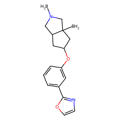 BN1CC2CC(Oc3cccc(-c4ncco4)c3)CC2(B)C1